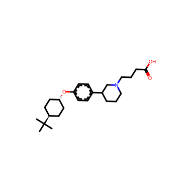 CC(C)(C)[C@H]1CC[C@H](Oc2ccc(C3CCCN(CCCC(=O)O)C3)cc2)CC1